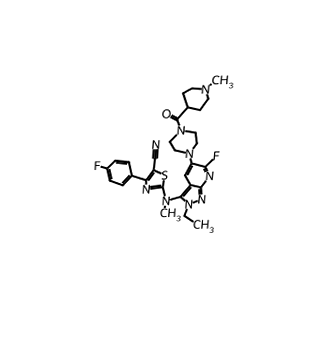 CCn1nc2nc(F)c(N3CCN(C(=O)C4CCN(C)CC4)CC3)cc2c1N(C)c1nc(-c2ccc(F)cc2)c(C#N)s1